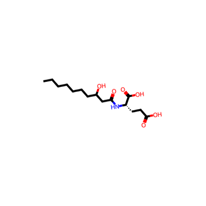 CCCCCCCC(O)CC(=O)N[C@@H](CCC(=O)O)C(=O)O